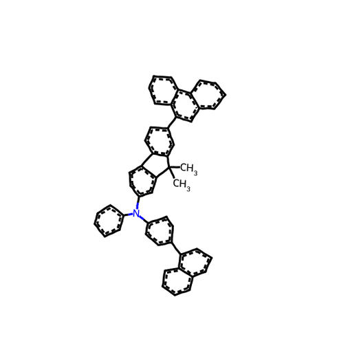 CC1(C)c2cc(-c3cc4ccccc4c4ccccc34)ccc2-c2ccc(N(c3ccccc3)c3ccc(-c4cccc5ccccc45)cc3)cc21